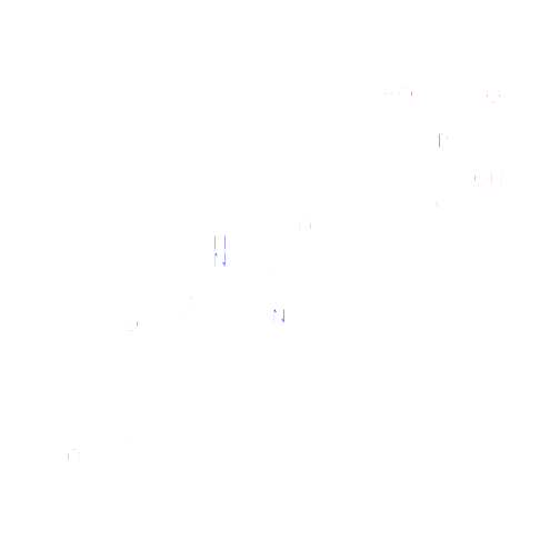 C1CCOC1.O=C1CN(Cc2cccc(CP(=O)(O)O)c2)C(=O)N1